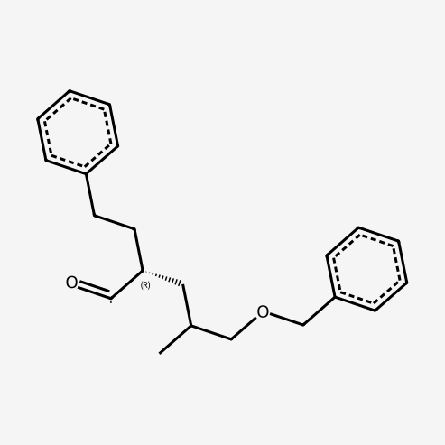 CC(COCc1ccccc1)C[C@H]([C]=O)CCc1ccccc1